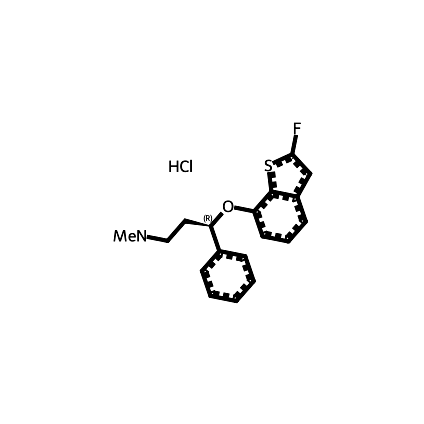 CNCC[C@@H](Oc1cccc2cc(F)sc12)c1ccccc1.Cl